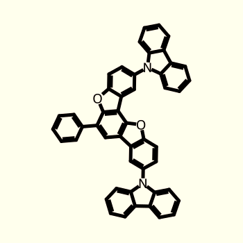 c1ccc(-c2cc3c4cc(-n5c6ccccc6c6ccccc65)ccc4oc3c3c2oc2ccc(-n4c5ccccc5c5ccccc54)cc23)cc1